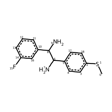 CSc1ccc(C(N)C(N)c2cccc(F)c2)cc1